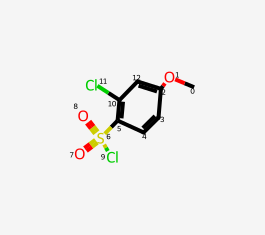 COc1ccc(S(=O)(=O)Cl)c(Cl)c1